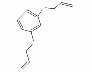 C=CCSc1cccc(SCC=C)c1